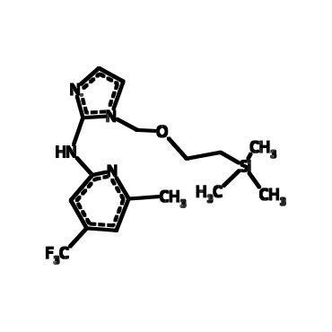 Cc1cc(C(F)(F)F)cc(Nc2nccn2COCC[Si](C)(C)C)n1